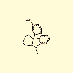 COc1cccc(C23SCCCN2C(=O)c2ccccc23)c1